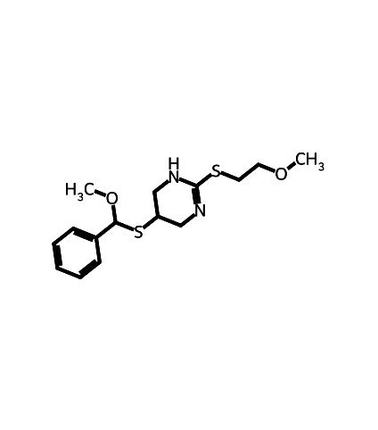 COCCSC1=NCC(SC(OC)c2ccccc2)CN1